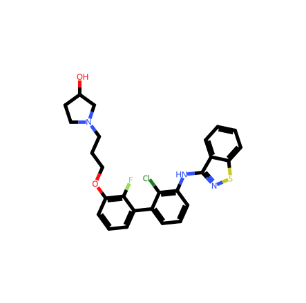 OC1CCN(CCCOc2cccc(-c3cccc(Nc4nsc5ccccc45)c3Cl)c2F)C1